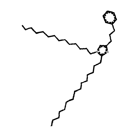 CCCCCCCCCCCCCCCc1nc(CCCc2ccccc2)cn1CCCCCCCCCCCCCC